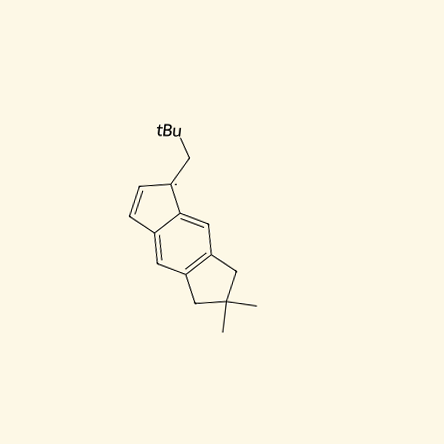 CC(C)(C)C[C]1C=Cc2cc3c(cc21)CC(C)(C)C3